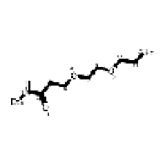 CCNC(=O)CCOCCOCCC(C)C